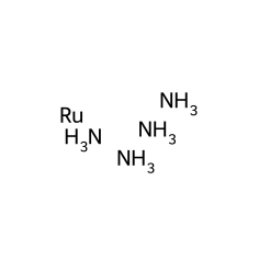 N.N.N.N.[Ru]